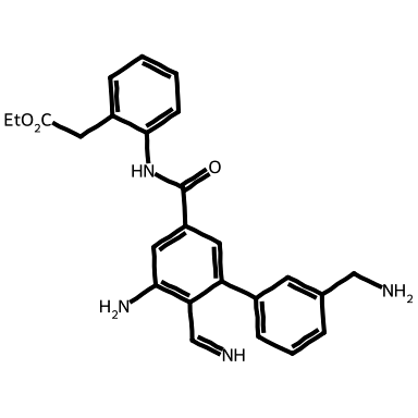 CCOC(=O)Cc1ccccc1NC(=O)c1cc(N)c(C=N)c(-c2cccc(CN)c2)c1